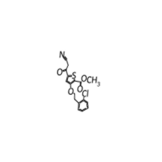 COC(=O)c1sc(C(=O)CC#N)cc1OCCc1ccccc1Cl